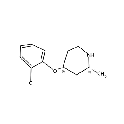 C[C@@H]1C[C@H](Oc2ccccc2Cl)CCN1